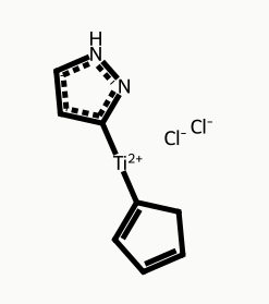 C1=CC[C]([Ti+2][c]2cc[nH]n2)=C1.[Cl-].[Cl-]